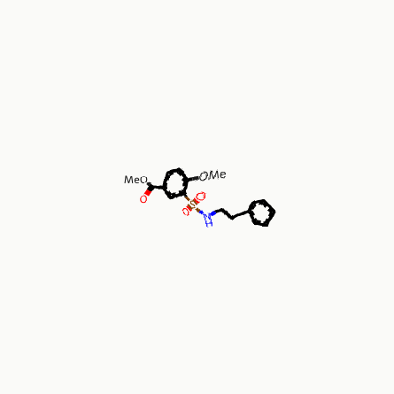 COC(=O)c1ccc(OC)c(S(=O)(=O)NCCc2ccccc2)c1